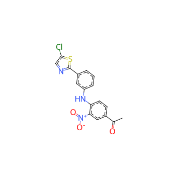 CC(=O)c1ccc(Nc2cccc(-c3ncc(Cl)s3)c2)c([N+](=O)[O-])c1